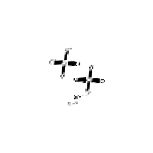 [O]=[Cr](=[O])([O-])[O-].[O]=[Cr](=[O])([O-])[O-].[Sr+2].[Sr+2]